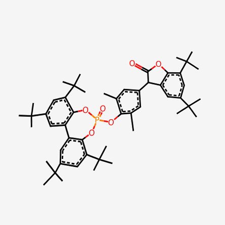 Cc1cc(C2C(=O)Oc3c2cc(C(C)(C)C)cc3C(C)(C)C)cc(C)c1OP1(=O)Oc2c(cc(C(C)(C)C)cc2C(C)(C)C)-c2cc(C(C)(C)C)cc(C(C)(C)C)c2O1